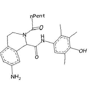 CCCCCC(=O)N1CCc2ccc(N)cc2C1C(=O)Nc1cc(C)c(O)c(C)c1C